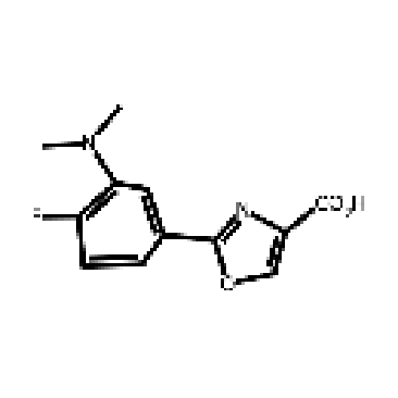 CN(C)c1cc(-c2nc(C(=O)O)co2)ccc1F